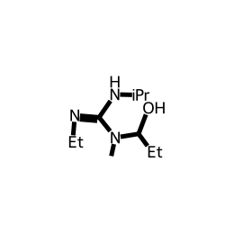 CC/N=C(/NC(C)C)N(C)C(O)CC